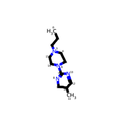 CCCN1CCN(C2=NCC(C)C=N2)CC1